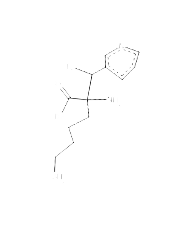 BCCCCC(N)(C(=O)O)C(O)c1cccnc1